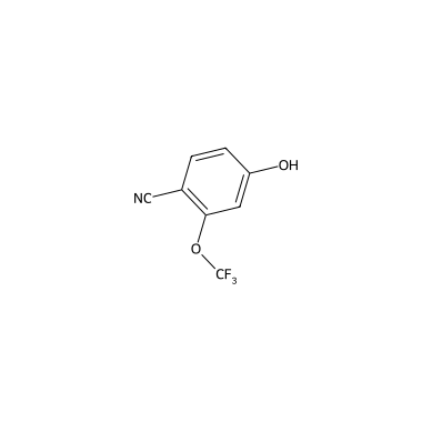 N#Cc1ccc(O)cc1OC(F)(F)F